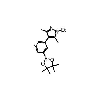 CCn1nc(C)c(-c2cncc(B3OC(C)(C)C(C)(C)O3)c2)c1C